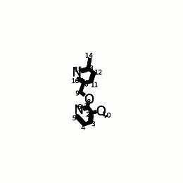 COc1cccnc1OCc1ccc(C)nc1